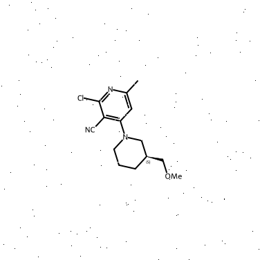 COC[C@H]1CCCN(c2cc(C)nc(Cl)c2C#N)C1